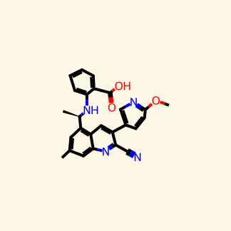 COc1ccc(-c2cc3c([C@@H](C)Nc4ccccc4C(=O)O)cc(C)cc3nc2C#N)cn1